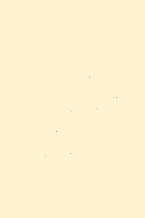 COc1cc(OC)cc(C(C)Nc2nc(C)c(-c3nc4ccccc4s3)c(NC(C)C[C@H](CO)[C@H](C)O)n2)c1